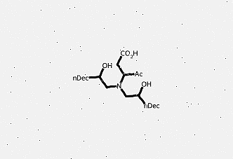 CCCCCCCCCCC(O)CN(CC(O)CCCCCCCCCC)C(CC(=O)O)C(C)=O